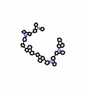 c1ccc(-n2c3ccccc3c3cc(-c4ccc5c(c4)c4ccccc4n5-c4ccc(-c5cccc(-c6ccc7c8c(cccc68)-c6cc(-c8ccc9c(c8)-c8cccc%10c(-c%11cccc(-n%12c%13ccccc%13c%13cc(-c%14ccc%15c(c%14)c%14ccccc%14n%15-c%14ccc%15c%16c(cccc%14%16)-c%14ccccc%14-%15)ccc%13%12)c%11)ccc-9c8%10)ccc6-7)c5)cc4)ccc32)cc1